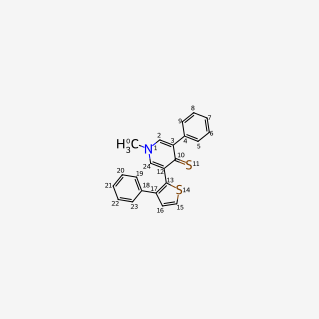 Cn1cc(-c2ccccc2)c(=S)c(-c2sccc2-c2ccccc2)c1